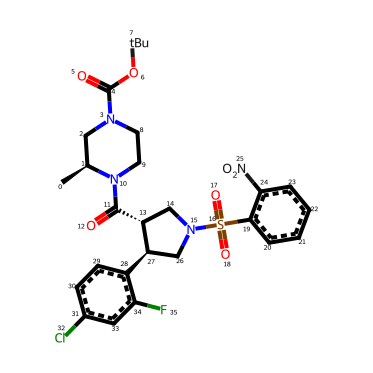 C[C@H]1CN(C(=O)OC(C)(C)C)CCN1C(=O)[C@@H]1CN(S(=O)(=O)c2ccccc2[N+](=O)[O-])C[C@H]1c1ccc(Cl)cc1F